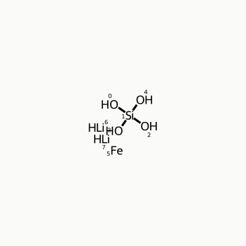 O[Si](O)(O)O.[Fe].[LiH].[LiH]